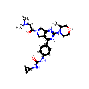 CC1COCCN1c1nc2c(c(-c3ccc(NC(=O)NC4CC4)cc3)n1)CN(C(=O)CN(C)C)C2